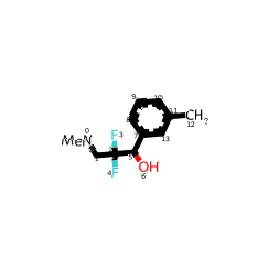 CNCC(F)(F)C(O)c1cccc(C)c1